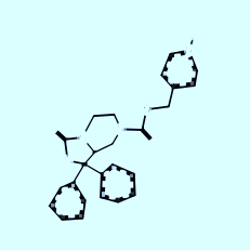 O=C(NCc1cc[n+]([O-])cc1)N1CCN2C(=O)OC(c3ccccc3)(c3ccccc3)C2C1